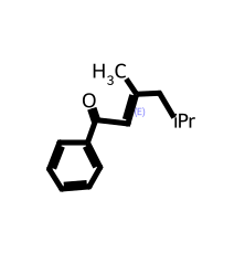 C/C(=C\C(=O)c1ccccc1)CC(C)C